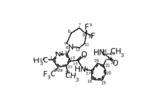 Cc1nc(N2CCCC(F)(F)CC2)c(C(=O)Nc2cccc(S(C)(=N)=O)c2)c(C)c1C(F)(F)F